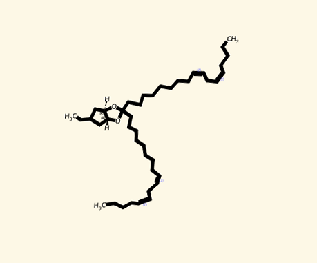 CCCC/C=C\C/C=C\CCCCCCCCC1(CCCCCCCC/C=C\C/C=C\CCCC)O[C@@H]2CC(CC)C[C@H]2O1